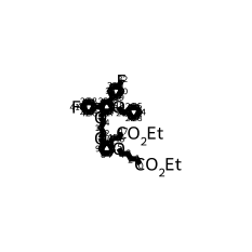 CCOC(=O)CCCCOc1cccc(OCCCOc2cc(OCc3ccccc3)c(-c3ccc(F)cc3)cc2-c2ccc(F)cc2)c1CCC(=O)OCC